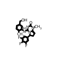 Cc1ccc(CO)cc1NC1=NC(=O)N(C)C2=CCC(c3cc(F)c(F)c(F)c3)N21